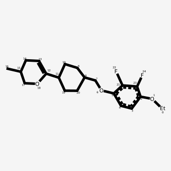 CCOc1ccc(OCC2CCC(C3=CCC(C)CO3)CC2)c(F)c1F